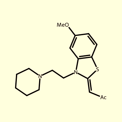 COc1ccc2c(c1)N(CCN1CCCCC1)/C(=C/C(C)=O)S2